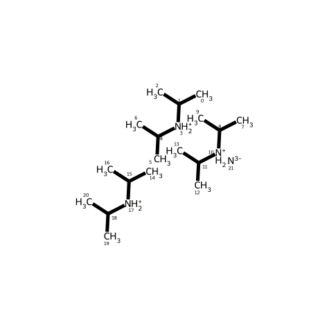 CC(C)[NH2+]C(C)C.CC(C)[NH2+]C(C)C.CC(C)[NH2+]C(C)C.[N-3]